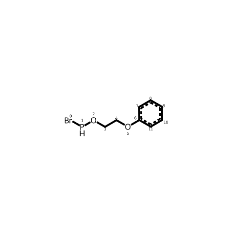 BrPOCCOc1ccccc1